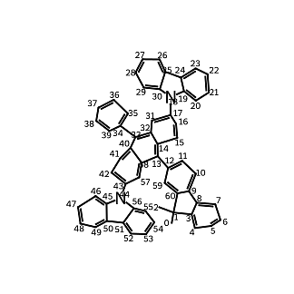 CC1(C)c2ccccc2-c2ccc(-c3c4ccc(-n5c6ccccc6c6ccccc65)cc4c(-c4ccccc4)c4ccc(-n5c6ccccc6c6ccccc65)cc34)cc21